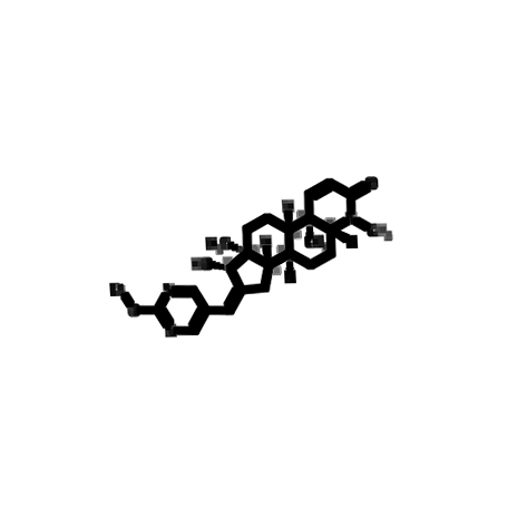 CCOc1ncc(C=C2C[C@H]3[C@@H]4CC[C@H]5N(C)C(=O)C=C[C@]5(C)[C@H]4CC[C@]3(C)[C@H]2O)cn1